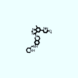 COc1ccc(-c2cc(C)c3ncnc(N4CCc5ccc(NC[C@@H]6CCCCN6)cc5C4)c3c2)nn1